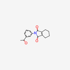 CC(=O)c1cccc(N2C(=O)C3=C(CCCC3)C2=O)c1